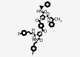 C[C@H](CNC(=O)[C@@H]1CN(C(=O)c2ccc(C(=O)N3C[C@@H](C(=O)NCCc4ccc(F)cc4)[C@H](C(=O)NCCc4ccc(F)cc4)C3)cc2)C[C@H]1C(=O)N[C@H]1C[C@@H]1c1ccccc1)c1ccccc1